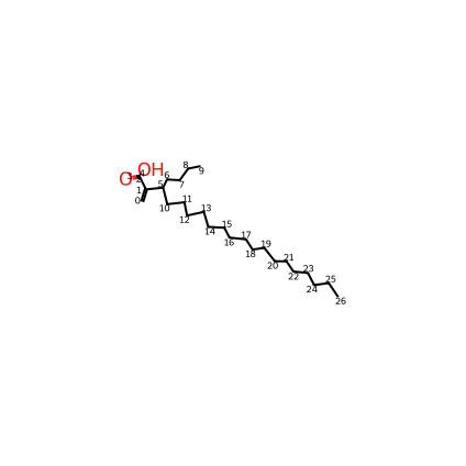 C=C(C(=O)O)C(CCCC)CCCCCCCCCCCCCCCCC